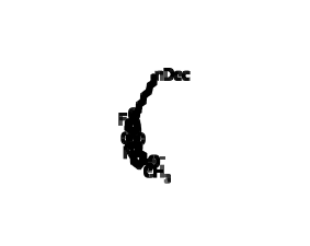 CCCCCCCCCCCCCCCCCCOc1ccc(S(=O)(=O)c2cnc3ccc([S+](C)[O-])cc3c2)cc1F